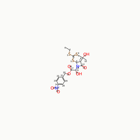 CCSC(=S)SC1C(C(C)(C)O)C(=O)N1C(O)C(=O)OCc1ccc([N+](=O)[O-])cc1